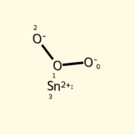 [O-]O[O-].[Sn+2]